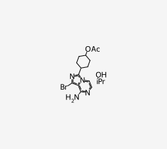 CC(=O)OC1CCC(c2nc(Br)c3c(N)nccn23)CC1.CC(C)O